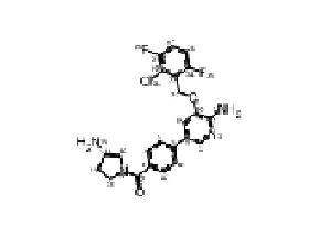 Nc1ncc(-c2ccc(C(=O)N3CC[C@H](N)C3)cc2)cc1OCc1c(F)ccc(F)c1Cl